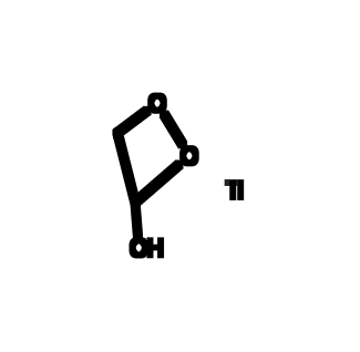 OC1COO1.[Ti]